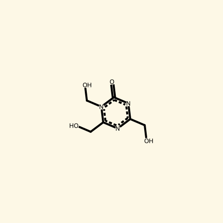 O=c1nc(CO)nc(CO)n1CO